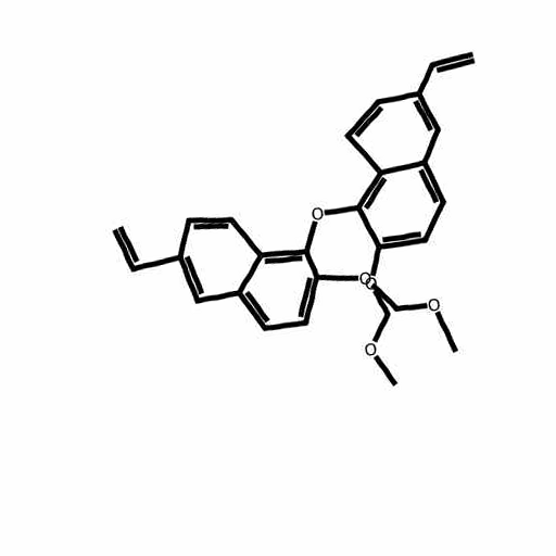 C=Cc1ccc2c(Oc3c(OCOC)ccc4cc(C=C)ccc34)c(OCOC)ccc2c1